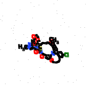 CO[C@H]1/C=C/C[C@H](C)CS(=O)(NC(=O)c2cn(C)nc2OCC2OCCO2)=NC(=O)c2ccc3c(c2)N(Cc2ccc(Cl)cc2CCCCO3)C[C@@H]2CC[C@H]21